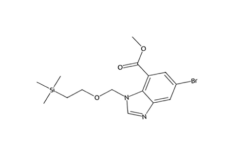 COC(=O)c1cc(Br)cc2ncn(COCC[Si](C)(C)C)c12